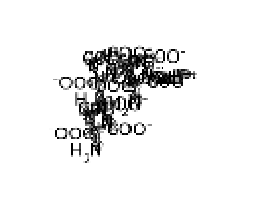 NCCCC(C(=O)[O-])N1CCN(CC(=O)[O-])CCN(CC(=O)[O-])CCN(CC(=O)[O-])CC1.NCCCC(C(=O)[O-])N1CCN(CC(=O)[O-])CCN(CC(=O)[O-])CCN(CC(=O)[O-])CC1.NCCCC(C(=O)[O-])N1CCN(CC(=O)[O-])CCN(CC(=O)[O-])CCN(CC(=O)[O-])CC1.[Gd+3].[Gd+3].[Gd+3].[Gd+3]